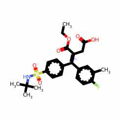 CCOC(=O)/C(CC(=O)O)=C(\c1ccc(S(=O)(=O)NC(C)(C)C)cc1)c1ccc(F)c(C)c1